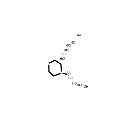 CP1CCOCC1.Cl.Cl.Cl.Cl.Cl.Cl.Cl.Cl.Cl.[Au]